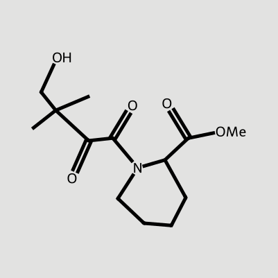 COC(=O)C1CCCCN1C(=O)C(=O)C(C)(C)CO